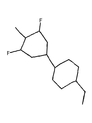 CCC1CCC(C2CC(F)C(C)C(F)C2)CC1